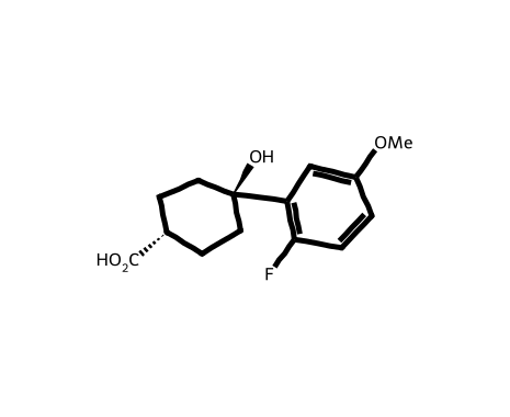 COc1ccc(F)c([C@]2(O)CC[C@H](C(=O)O)CC2)c1